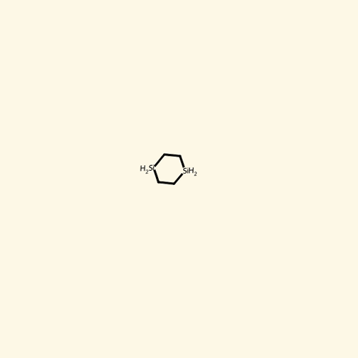 C1C[SiH2]CC[SiH2]1